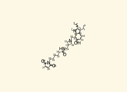 CCc1c(SC)n(C)c2c(CN3CC(CNC(=O)CCCCCN4C(=O)C=CC4=O)C3)c(O)ccc12